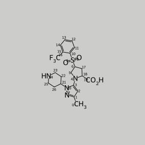 Cc1cc(N2CC(S(=O)(=O)c3ccccc3C(F)(F)F)CC2C(=O)O)n(C2CCNCC2)n1